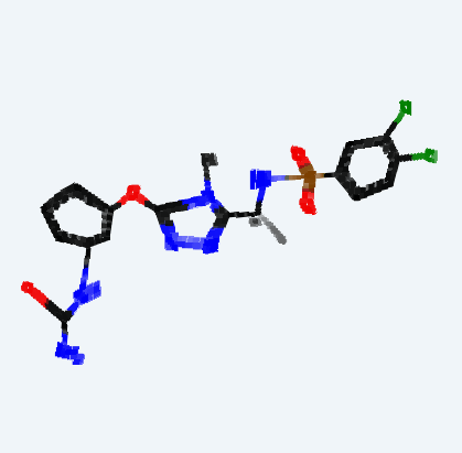 CCn1c(Oc2cccc(NC(N)=O)c2)nnc1[C@@H](C)NS(=O)(=O)c1ccc(Cl)c(Cl)c1